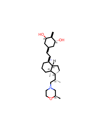 C=C1[C@H](O)CC(=C/C=C2\CCC[C@]3(C)[C@@H]([C@H](C)CN4CCO[C@H](C)C4)CC[C@@H]23)C[C@H]1O